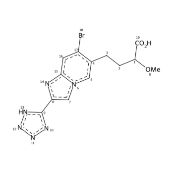 COC(CCc1cn2cc(-c3nnn[nH]3)nc2cc1Br)C(=O)O